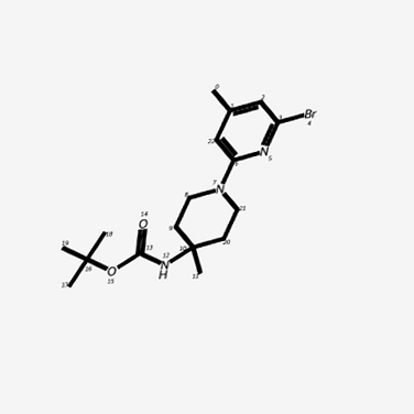 Cc1cc(Br)nc(N2CCC(C)(NC(=O)OC(C)(C)C)CC2)c1